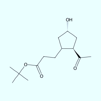 CC(=O)[C@@H]1C[C@@H](O)CC1CCC(=O)OC(C)(C)C